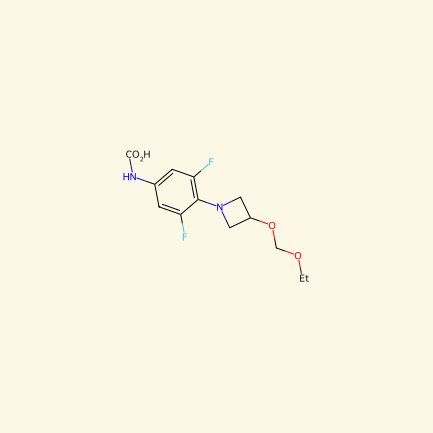 CCOCOC1CN(c2c(F)cc(NC(=O)O)cc2F)C1